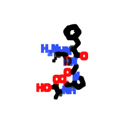 C[C@H](N)C(=O)N[C@@H](Cc1ccccc1)C(=O)NCC(=O)N1CCC[C@H]1C(=O)N[C@@H](C)C(=O)O